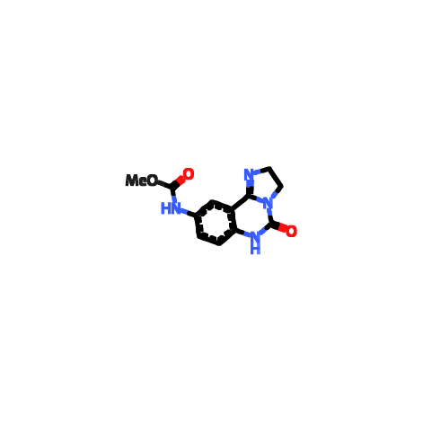 COC(=O)Nc1ccc2c(c1)C1=NCCN1C(=O)N2